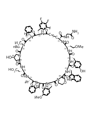 CCCC[C@H]1C(=O)N2C[C@H](O)C[C@@H]2C(=O)N[C@@H](CC(=O)O)C(=O)N[C@@H](C(C)C)C(=O)N(C)C(Cc2ccccc2)C(=O)N[C@@H](Cc2ccc(OC)cc2)C(=O)N2CCOC[C@@H]2C(=O)N[C@@H](Cc2c[nH]c3ccccc23)C(=O)N[C@@H](Cc2ccc(O)cc2)C(=O)N[C@@H](CCOC)C(=O)N[C@H](C(=O)NCC(N)=O)CSCC(=O)N[C@@H](Cc2cc(F)c(F)c(F)c2)C(=O)N(C)[C@@H](Cc2ccccc2)C(=O)N1C